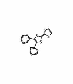 C1=CSC(=C2SC(c3ccccc3)=C(c3ccccc3)S2)S1